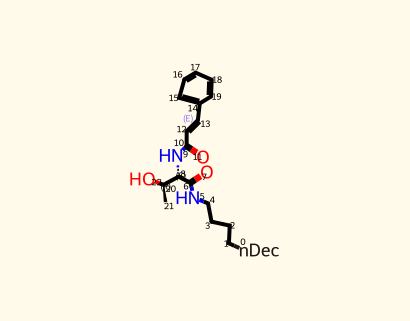 CCCCCCCCCCCCCCNC(=O)[C@@H](NC(=O)/C=C/c1ccccc1)[C@@H](C)O